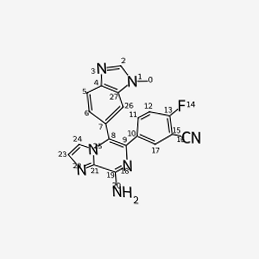 Cn1cnc2ccc(-c3c(-c4ccc(F)c(C#N)c4)nc(N)c4nccn34)cc21